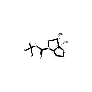 CC(C)(C)OC(=O)N1C[C@H](O)[C@H]2NCCC21